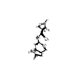 Cc1cc2cnc(NC(=O)c3cnn(C)c3)cc2[nH]1